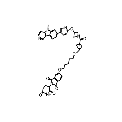 Cn1c2ccncc2c2ccc(-c3ccc(OC4CN(C(=O)C56CC(COCCCCCOc7ccc8c(c7)C(=O)N(C7CCC(=O)NC7=O)C8=O)(C5)C6)C4)nc3)cc21